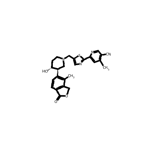 Cc1cc(-c2ncc(CN3CC[C@@H](O)[C@H](c4ccc5c(c4C)COC5=O)C3)s2)ncc1C#N